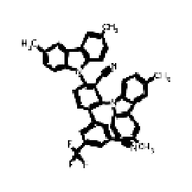 Cc1ccc2c(c1)c1cc(C)ccc1n2-c1ccc(-c2cc(C#N)cc(C(F)(F)F)c2)c(-n2c3ccc(C)cc3c3cc(C)ccc32)c1C#N